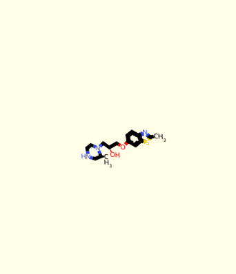 Cc1nc2ccc(OC[C@H](O)CN3CCNC[C@@H]3C)cc2s1